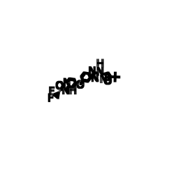 Cn1c(Nc2cc(C(C)(C)C)on2)nc2ccc(Oc3ccnc(NC(=O)[C@@H]4CC4(F)F)c3)cc21